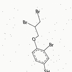 Sc1ccc(OCC(Br)CBr)c(Br)c1